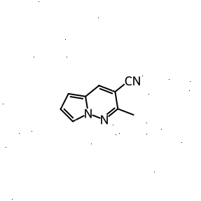 Cc1nn2cccc2cc1C#N